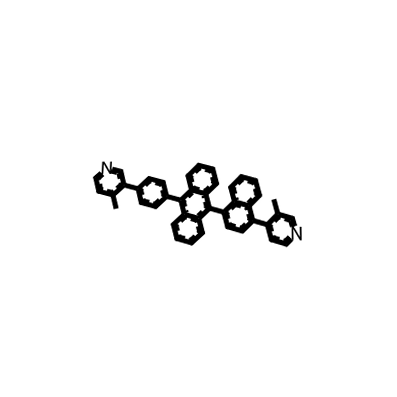 Cc1ccncc1-c1ccc(-c2c3ccccc3c(-c3ccc(-c4ccncc4C)c4ccccc34)c3ccccc23)cc1